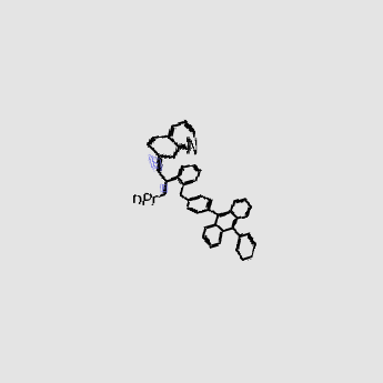 CCC/C=C(\C=C1\C=Cc2cccnc2C1)c1ccccc1Cc1ccc(-c2c3ccccc3c(C3=CCCC=C3)c3ccccc23)cc1